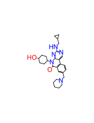 O=c1c2cc(CN3CCCCC3)ccc2c2cnc(NCC3CC3)nc2n1C1CCC(O)CC1